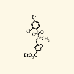 CCOC(=O)c1coc(CN(C)S(=O)(=O)c2ccc(Br)cc2Cl)c1